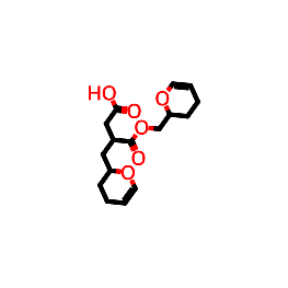 O=C(O)CC(CC1CCC=CO1)C(=O)OCC1CCC=CO1